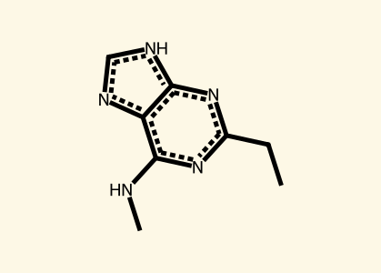 CCc1nc(NC)c2nc[nH]c2n1